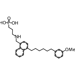 COc1cccc(CCCCCCc2ccc(CNCCCP(=O)(O)O)c3ccccc23)c1